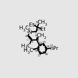 C=C(/C(C)=C\N(C)CC(C)(CC)CC)c1cc(CCC)ccc1C